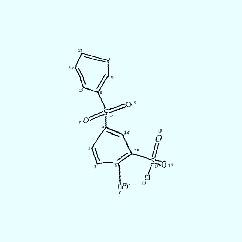 CCCc1ccc(S(=O)(=O)c2ccccc2)cc1S(=O)(=O)Cl